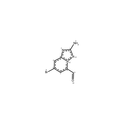 Nc1nc2cc(Br)cc(C=O)n2n1